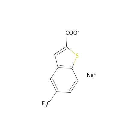 O=C([O-])c1cc2cc(C(F)(F)F)ccc2s1.[Na+]